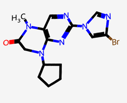 CN1C(=O)CN(C2CCCC2)c2nc(-n3cnc(Br)c3)ncc21